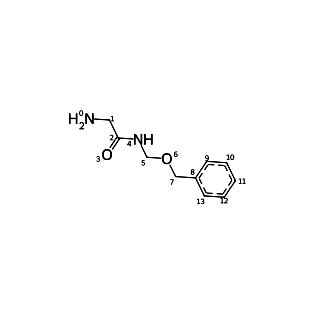 NCC(=O)NCOCc1ccccc1